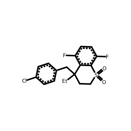 CCC1(Cc2ccc(Cl)cc2)CCS(=O)(=O)c2c(F)ccc(F)c21